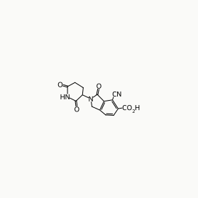 N#Cc1c(C(=O)O)ccc2c1C(=O)N(C1CCC(=O)NC1=O)C2